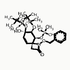 CC(C)(C)[Si](C)(C)O[C@H]1[C@@H](O[Si](C)(C)C)[C@]2(C=C[C@@]1(O)O[Si](C)(C)C(C)(C)C)CC(=O)N2OCc1ccccc1